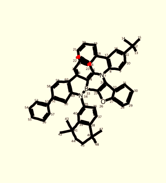 Cc1cc2c3c(c1)N(c1ccc(C(C)(C)C)cc1-c1ccccc1)c1c(oc4ccccc14)B3N(c1ccc3c(c1)C(C)(C)CCC3(C)C)c1cc(-c3ccccc3)ccc1-2